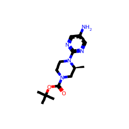 C[C@H]1CN(C(=O)OC(C)(C)C)CCN1c1ncc(N)cn1